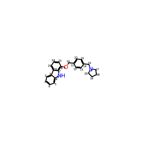 c1ccc2c(c1)[nH]c1c(OCc3ccc(CN4CCCC4)cc3)cccc12